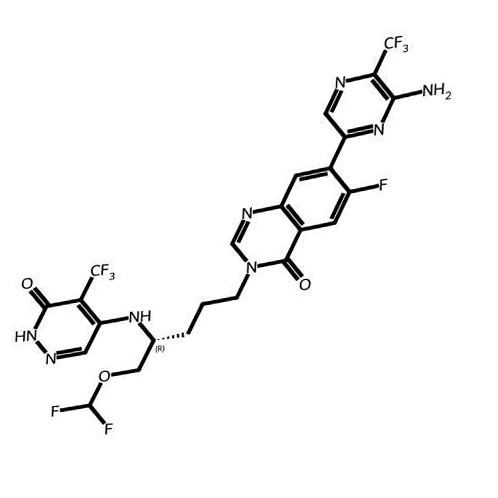 Nc1nc(-c2cc3ncn(CCC[C@H](COC(F)F)Nc4cn[nH]c(=O)c4C(F)(F)F)c(=O)c3cc2F)cnc1C(F)(F)F